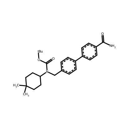 CC1(C)CCC(N(Cc2ccc(-c3ccc(C(N)=O)cc3)cc2)C(=O)OC(C)(C)C)CC1